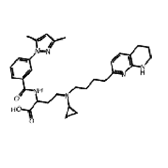 Cc1cc(C)n(-c2cccc(C(=O)NC(CCN(CCCCc3ccc4c(n3)NCCC4)C3CC3)C(=O)O)c2)n1